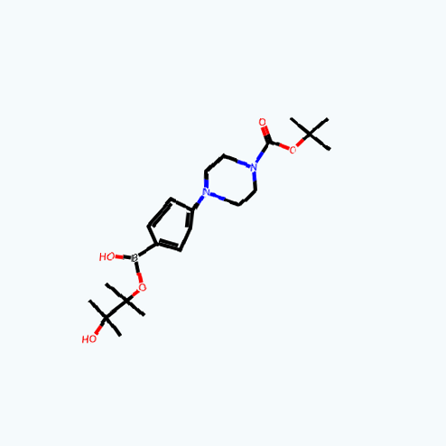 CC(C)(C)OC(=O)N1CCN(c2ccc(B(O)OC(C)(C)C(C)(C)O)cc2)CC1